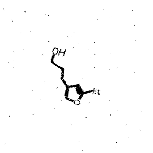 CCc1cc(CCCO)co1